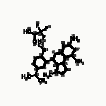 COc1ccc(C(C)C)cc1-c1cc2nc(N)nc(N)c2c2ccn(C)c12.O=C(O)C(F)(F)F